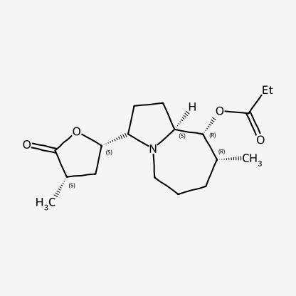 CCC(=O)O[C@@H]1[C@H](C)CCCN2C([C@@H]3C[C@H](C)C(=O)O3)CC[C@@H]12